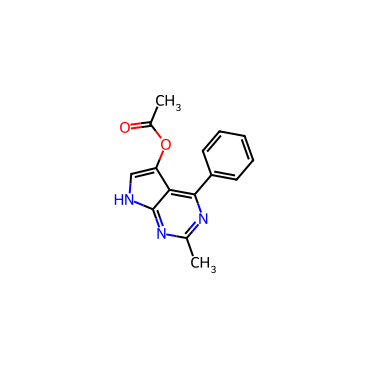 CC(=O)Oc1c[nH]c2nc(C)nc(-c3ccccc3)c12